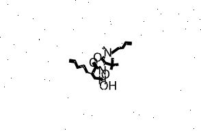 C=CCCC[C@H](CC(=O)O)C(=O)N[C@H](C(=O)N(C)CCCC=C)C(C)(C)C